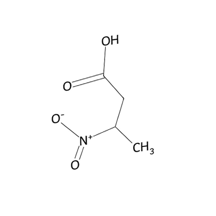 CC(CC(=O)O)[N+](=O)[O-]